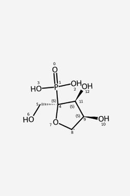 O=P(O)(O)[C@]1(CO)O[CH][C@H](O)[C@@H]1O